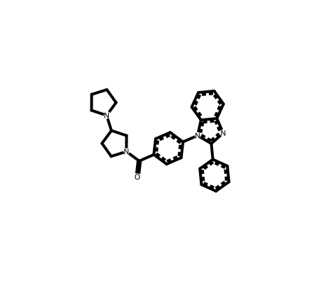 O=C(c1ccc(-n2c(-c3ccccc3)nc3ccccc32)cc1)N1CCC(N2CCCC2)C1